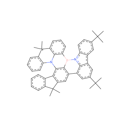 CC(C)(C)c1ccc2c(c1)c1cc(C(C)(C)C)cc3c1n2B1c2cccc4c2N(c2ccccc2[Si]4(C)C)c2c1c-3cc1c2-c2ccccc2C1(C)C